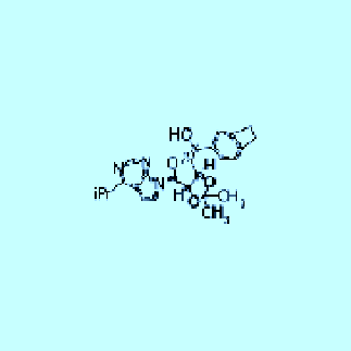 CC(C)c1ncnc2c1ccn2[C@@H]1O[C@H]([C@H](O)c2ccc3c(c2)CC3)[C@H]2OC(C)(C)O[C@H]21